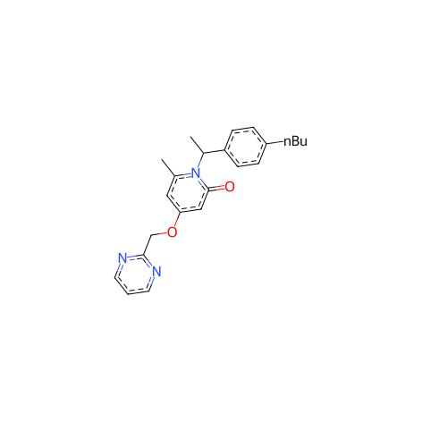 CCCCc1ccc(C(C)n2c(C)cc(OCc3ncccn3)cc2=O)cc1